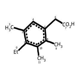 CCc1c(C)cc(CC(=O)O)c(C)c1C